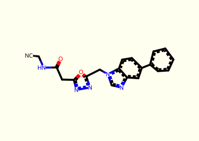 N#CCNC(=O)Cc1nnc(Cn2cnc3cc(-c4ccccc4)ccc32)o1